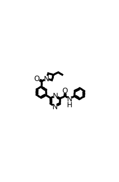 CCC1CN(C(=O)c2cccc(-c3cncc(C(=O)Nc4ccccc4)n3)c2)C1